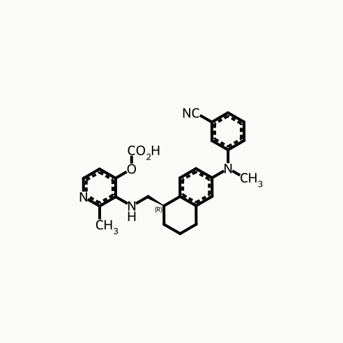 Cc1nccc(OC(=O)O)c1NC[C@@H]1CCCc2cc(N(C)c3cccc(C#N)c3)ccc21